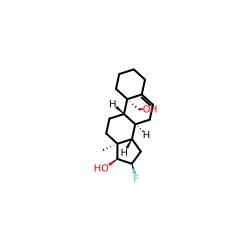 C[C@]12CC[C@H]3[C@@H](CC=C4CCCC[C@@]43CO)[C@@H]1C[C@@H](F)[C@H]2O